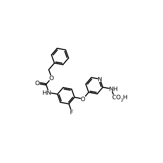 O=C(O)Nc1cc(Oc2ccc(NC(=O)OCc3ccccc3)cc2F)ccn1